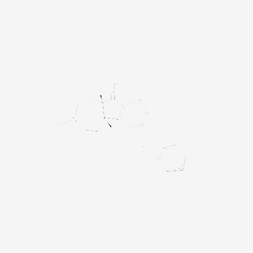 Cc1cccc(S(=O)(=O)c2ccc3c(c2)[C@@H]2CCN(C)CC[C@@H]2N3C)c1